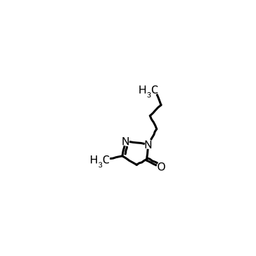 CCCCN1N=C(C)CC1=O